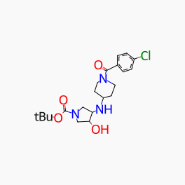 CC(C)(C)OC(=O)N1CC(O)C(NC2CCN(C(=O)c3ccc(Cl)cc3)CC2)C1